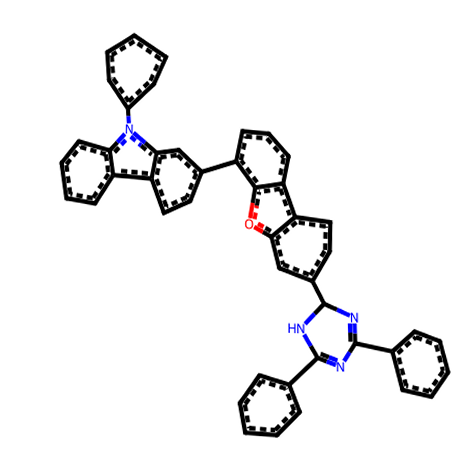 c1ccc(C2=NC(c3ccc4c(c3)oc3c(-c5ccc6c7ccccc7n(-c7ccccc7)c6c5)cccc34)NC(c3ccccc3)=N2)cc1